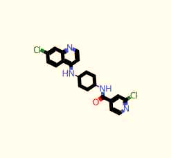 O=C(N[C@H]1CC[C@@H](Nc2ccnc3cc(Cl)ccc23)CC1)c1ccnc(Cl)c1